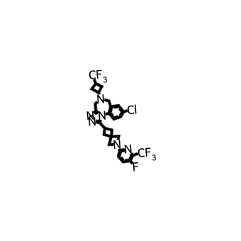 Fc1ccc(N2CC3(CC(c4nnc5n4-c4ccc(Cl)cc4CN(C4CC(C(F)(F)F)C4)C5)C3)C2)nc1C(F)(F)F